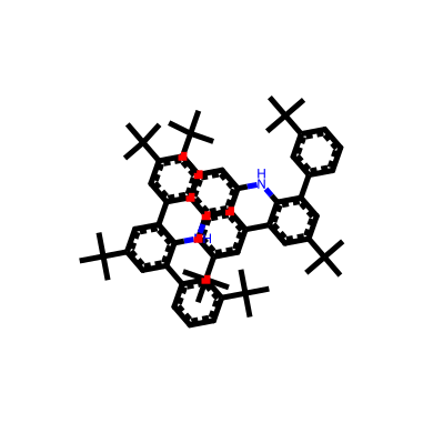 CC(C)(C)Cc1cc(Nc2c(-c3cccc(C(C)(C)C)c3)cc(C(C)(C)C)cc2-c2cccc(C(C)(C)C)c2)cc(Nc2c(-c3cccc(C(C)(C)C)c3)cc(C(C)(C)C)cc2-c2cccc(C(C)(C)C)c2)c1